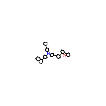 C1=CCCC(c2ccc(N(c3ccc(C4=CCCc5ccccc54)cc3)c3ccc(-c4cccc(-c5cccc6c5oc5ccccc56)c4)cc3)cc2)=C1